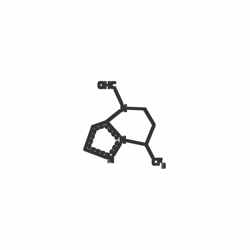 O=CN1CCC(C(F)(F)F)n2nccc21